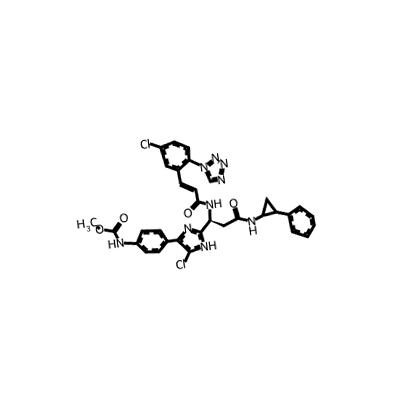 COC(=O)Nc1ccc(-c2nc([C@H](CC(=O)NC3CC3c3ccccc3)NC(=O)/C=C/c3cc(Cl)ccc3-n3cnnn3)[nH]c2Cl)cc1